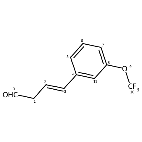 O=CCC=Cc1cccc(OC(F)(F)F)c1